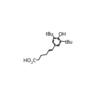 CC(C)(C)c1cc(C=CCCCC(=O)O)cc(C(C)(C)C)c1O